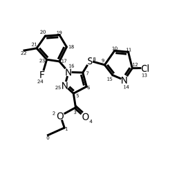 CCOC(=O)c1cc(Sc2ccc(Cl)nc2)n(-c2cccc(C)c2F)n1